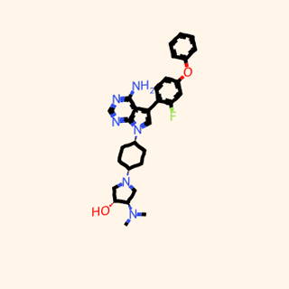 CN(C)[C@@H]1CN([C@H]2CC[C@@H](n3cc(-c4ccc(Oc5ccccc5)cc4F)c4c(N)ncnc43)CC2)C[C@H]1O